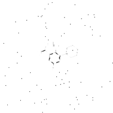 Cc1cc(C(=O)O)c(O)c(C2CCCCC2)c1